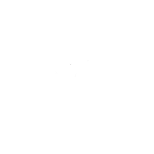 C=C(CF)C(F)(C(F)(F)F)C(F)(F)F